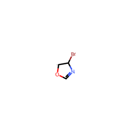 BrC1[CH]OC=N1